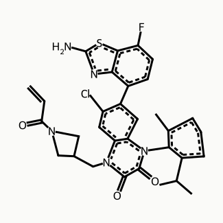 C=CC(=O)N1CC(Cn2c(=O)c(=O)n(-c3c(C)cccc3C(C)C)c3cc(-c4ccc(F)c5sc(N)nc45)c(Cl)cc32)C1